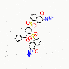 [N-]=[N+]=C1C=Cc2c(cccc2S(=O)(=O)c2ccc(C(=O)c3ccccc3)c(S(=O)(=O)c3cccc4c3C=CC(=[N+]=[N-])C4=O)c2)C1=O